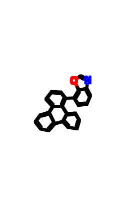 c1cc(-c2cccc3c4ccccc4c4ccccc4c23)c2ocnc2c1